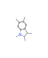 Cc1cc2c(cc1C)N(C)C(C)C2C